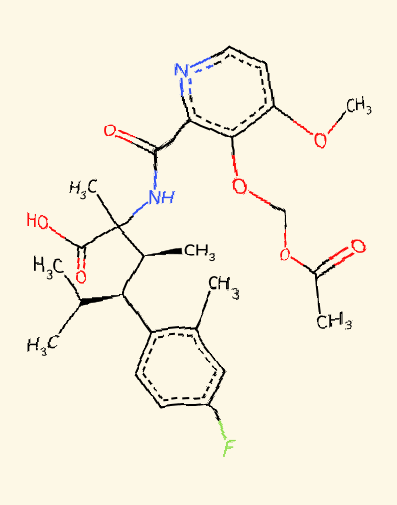 COc1ccnc(C(=O)NC(C)(C(=O)O)[C@@H](C)[C@@H](c2ccc(F)cc2C)C(C)C)c1OCOC(C)=O